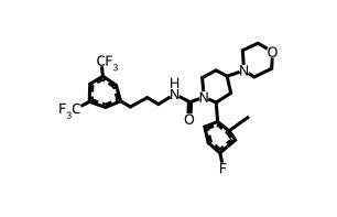 Cc1cc(F)ccc1C1CC(N2CCOCC2)CCN1C(=O)NCCCc1cc(C(F)(F)F)cc(C(F)(F)F)c1